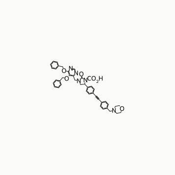 O=C(O)N1C(=O)N(Cc2ncnc(OCc3ccccc3)c2OCc2ccccc2)CC1c1ccc(C#Cc2ccc(CN3CCOCC3)cc2)cc1